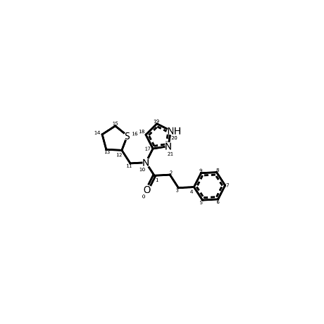 O=C(CCc1ccccc1)N(CC1CCCS1)c1cc[nH]n1